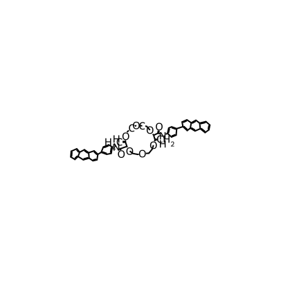 C=C1OCCOCCOC(C(=O)Nc2ccc(-c3ccc4cc5ccccc5cc4c3)cc2)C(=C)OCCOCCOC1C(=O)Nc1ccc(-c2ccc3cc4ccccc4cc3c2)cc1